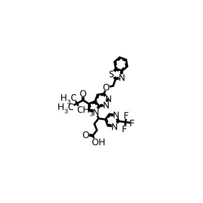 CC(C)(C)C(=O)c1cn(C(CCC(=O)O)c2cnc(C(F)(F)F)nc2)c2nnc(OCc3nc4ccccc4s3)cc12